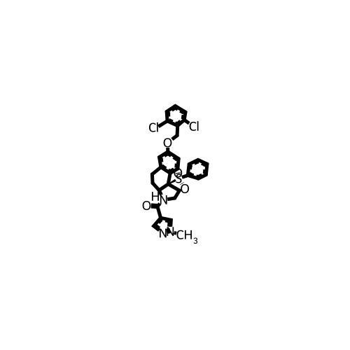 Cn1cc(C(=O)N2CC[C@@]3(S(=O)(=O)c4ccccc4)c4ccc(OCc5c(Cl)cccc5Cl)cc4CC[C@@H]23)cn1